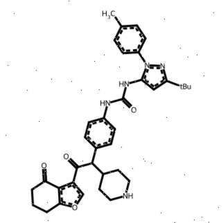 Cc1ccc(-n2nc(C(C)(C)C)cc2NC(=O)Nc2ccc(C(C(=O)c3coc4c3C(=O)CCC4)C3CCNCC3)cc2)cc1